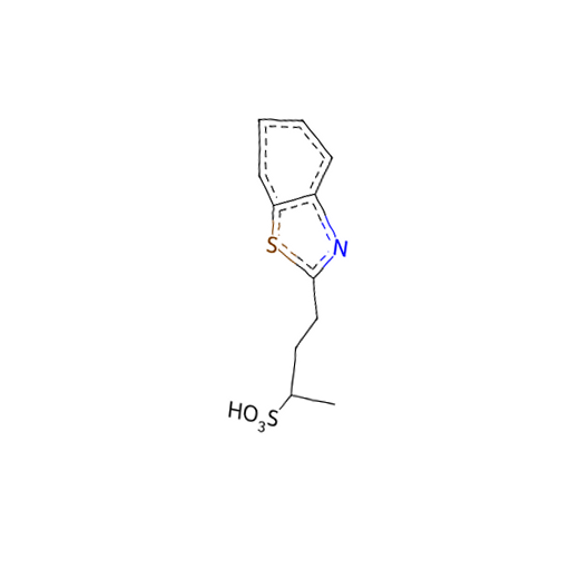 CC(CCc1nc2ccccc2s1)S(=O)(=O)O